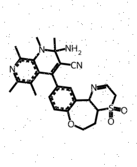 Cc1nc(C)c2c(c1C)C(c1ccc3c(c1)C1N=CCS(=O)(=O)C1CCO3)=C(C#N)C(C)(N)N2C